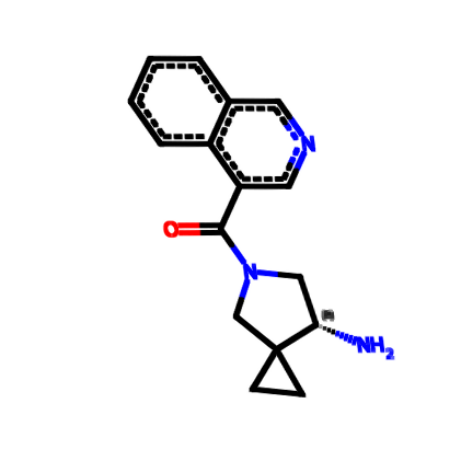 N[C@H]1CN(C(=O)c2cncc3ccccc23)CC12CC2